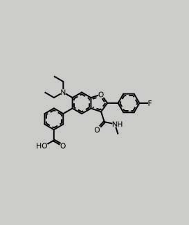 CCN(CC)c1cc2oc(-c3ccc(F)cc3)c(C(=O)NC)c2cc1-c1cccc(C(=O)O)c1